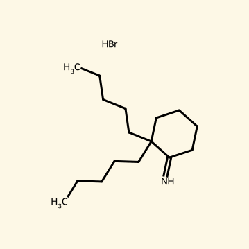 Br.CCCCCC1(CCCCC)CCCCC1=N